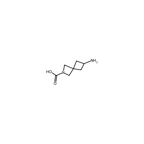 NC1CC2(C1)CN(C(=O)O)C2